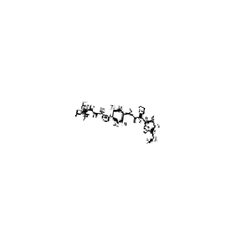 CCc1ccc(C(=O)CCc2ccc(OCCCC(F)(F)F)cc2)s1